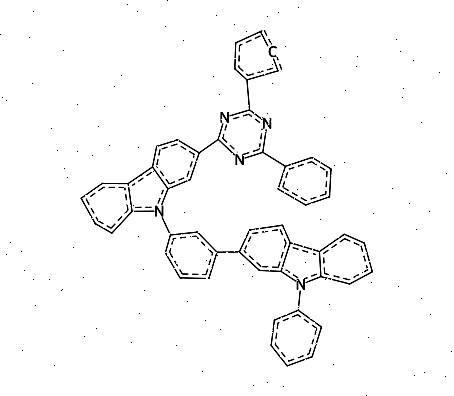 c1ccc(-c2nc(-c3ccccc3)nc(-c3ccc4c5ccccc5n(-c5cccc(-c6ccc7c8ccccc8n(-c8ccccc8)c7c6)c5)c4c3)n2)cc1